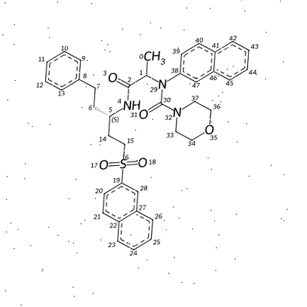 CC(C(=O)N[C@@H](CCc1ccccc1)CCS(=O)(=O)c1ccc2ccccc2c1)N(C(=O)N1CCOCC1)c1ccc2ccccc2c1